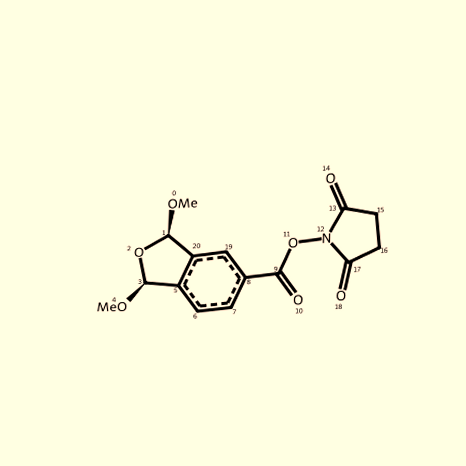 CO[C@@H]1O[C@H](OC)c2ccc(C(=O)ON3C(=O)CCC3=O)cc21